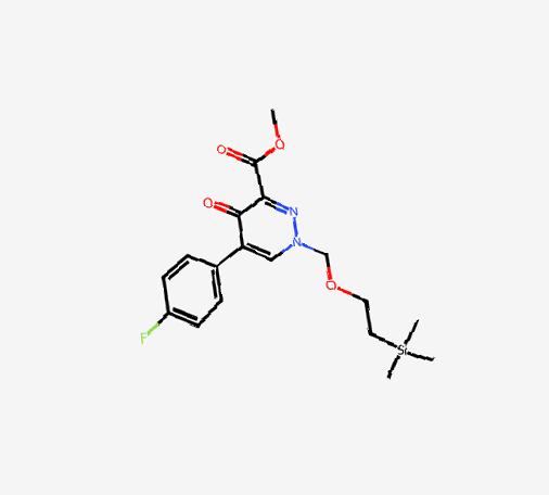 COC(=O)c1nn(COCC[Si](C)(C)C)cc(-c2ccc(F)cc2)c1=O